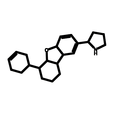 C1=CCC(C2CCCC3C4C=C(C5CCCN5)C=CC4OC23)CC1